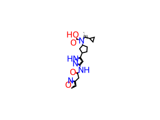 C[C@H](C1CC1)N(C(=O)O)C1CCC(c2cc(NC(=O)Cc3ccon3)n[nH]2)C1